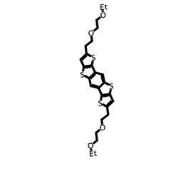 CCOCCOCCc1cc2sc3cc4c(cc3c2s1)sc1cc(CCOCCOCC)sc14